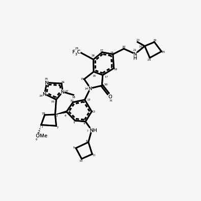 CO[C@H]1C[C@@](c2cc(NC3CCC3)cc(N3Cc4c(cc(CNC5(C)CCC5)cc4C(F)(F)F)C3=O)c2)(c2nncn2C)C1